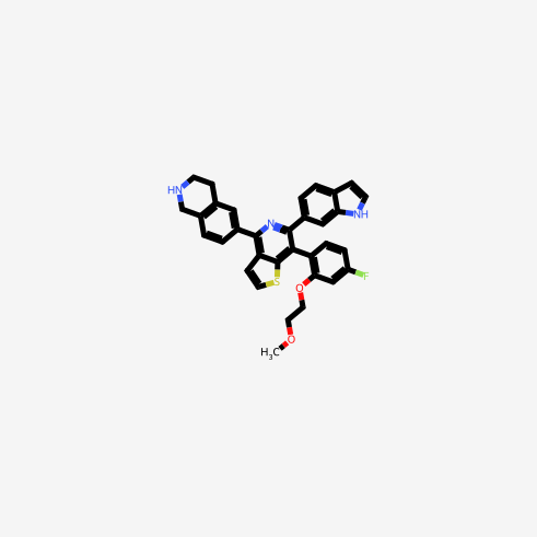 COCCOc1cc(F)ccc1-c1c(-c2ccc3cc[nH]c3c2)nc(-c2ccc3c(c2)CCNC3)c2ccsc12